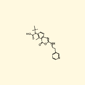 Cc1c(N(C(=O)O)C(C)(C)C)ccc2nc(NCCc3cccnc3)oc(=O)c12